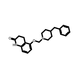 O=C1CCc2c(cccc2OCN2CCC(Cc3ccccc3)CC2)N1